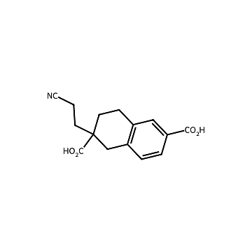 N#CCCC1(C(=O)O)CCc2cc(C(=O)O)ccc2C1